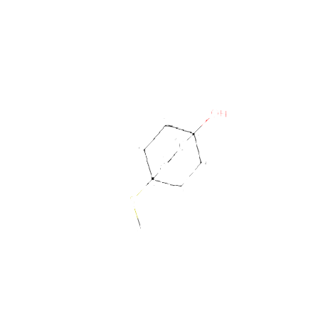 CSC12CCC(O)(CC1)CC2